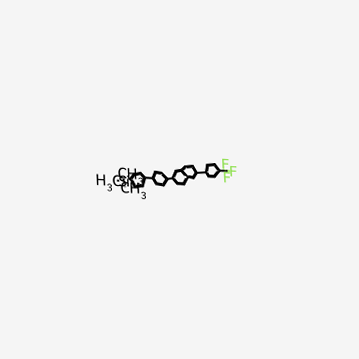 C[Si](C)(C)c1ccc(-c2ccc(-c3ccc4cc(-c5ccc(C(F)(F)F)cc5)ccc4c3)cc2)cc1